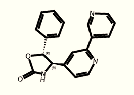 O=C1N[C@H](c2ccnc(-c3cccnc3)c2)[C@@H](c2ccccc2)O1